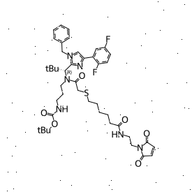 CC(C)(C)OC(=O)NCCCN(C(=O)CSCCCCCC(=O)NCCN1C(=O)C=CC1=O)[C@@H](c1nc(-c2cc(F)ccc2F)cn1Cc1ccccc1)C(C)(C)C